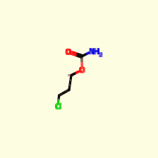 NC(=O)O[CH]CCCl